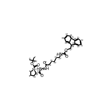 CC(C)(C)OC(=O)N1CCC[C@H]1C(=O)NNC(=O)CCCCCNC(=O)OCC1c2ccccc2-c2ccccc21